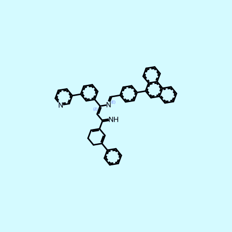 N=C(/C=C(\N=C\c1ccc(-c2cc3ccccc3c3ccccc23)cc1)c1cccc(-c2cccnc2)c1)C1=CCCC(c2ccccc2)=C1